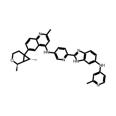 Cc1cc(Nc2ccc3nc(-c4ccc(Nc5cc(C)nc6ccc(C78CCO[C@H](C)C7[C@H]8C)cc56)cn4)[nH]c3c2)ccn1